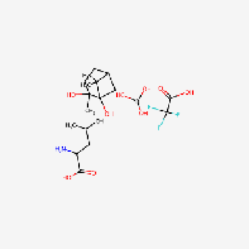 CC(C)CC(N)C(=O)O.CC1(O)CCC2CC1(O)C2(C)C.O=C(O)C(F)(F)F.OB(O)O